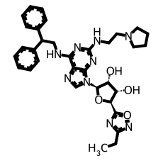 CCc1noc([C@H]2O[C@@H](n3cnc4c(NCC(c5ccccc5)c5ccccc5)nc(NCCN5CCCC5)nc43)[C@H](O)[C@@H]2O)n1